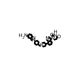 Nc1ccc2nn(C3CCC(CN4CCC(c5cccc6c(N7CCC(=O)NC7=O)cncc56)CC4)CC3)cc2c1